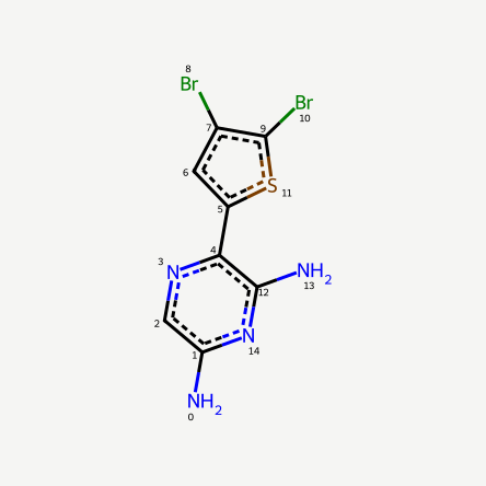 Nc1cnc(-c2cc(Br)c(Br)s2)c(N)n1